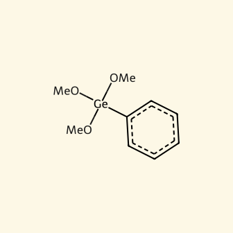 C[O][Ge]([O]C)([O]C)[c]1ccccc1